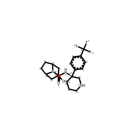 O=C(N[C@]1(c2ccc(C(F)(F)F)cc2)CCCNC1)N1C2CCC1CC(O)C2